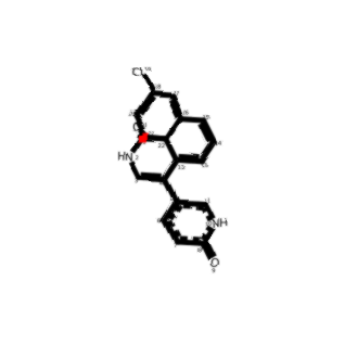 O=C1NC=C(c2ccc(=O)[nH]c2)C2=CC=CC3=CC(Cl)=CCC132